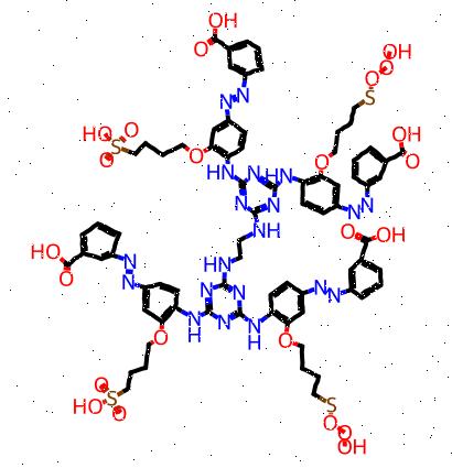 O=C(O)c1cccc(N=Nc2ccc(Nc3nc(NCCNc4nc(Nc5ccc(N=Nc6cccc(C(=O)O)c6)cc5OCCCCSOOO)nc(Nc5ccc(N=Nc6cccc(C(=O)O)c6)cc5OCCCCS(=O)(=O)O)n4)nc(Nc4ccc(N=Nc5cccc(C(=O)O)c5)cc4OCCCCS(=O)(=O)O)n3)c(OCCCCSOOO)c2)c1